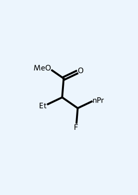 CCCC(F)C(CC)C(=O)OC